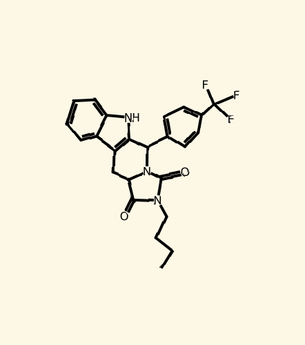 CCCCN1C(=O)C2Cc3c([nH]c4ccccc34)C(c3ccc(C(F)(F)F)cc3)N2C1=O